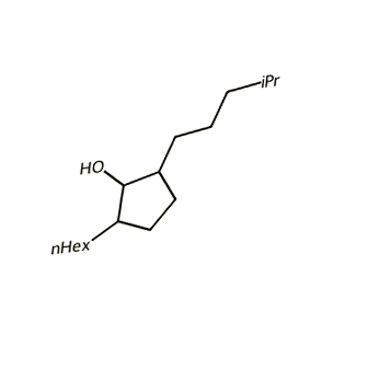 CCCCCCC1CCC(CCCC(C)C)C1O